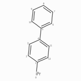 CC(C)c1c[c]c(-c2ccccc2)cc1